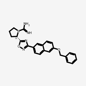 N=C(N)N1CCC[C@H]1c1nc(-c2ccc3cc(OCc4ccccc4)ccc3c2)no1